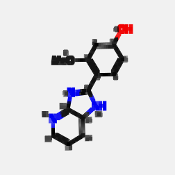 COc1cc(O)ccc1-c1nc2ncccc2[nH]1